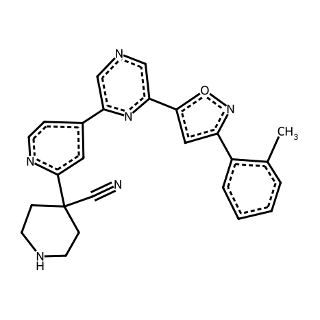 Cc1ccccc1-c1cc(-c2cncc(-c3ccnc(C4(C#N)CCNCC4)c3)n2)on1